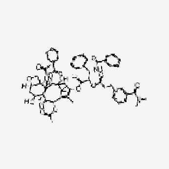 CC(=O)O[C@H]1C(=O)[C@@]2(C)[C@H]([C@H](OC(=O)c3ccccc3)[C@]3(O)C[C@H](OC(=O)[C@H](OC(=O)CC[n+]4cccc(C(=O)N(C)C)c4)[C@@H](NC(=O)c4ccccc4)c4ccccc4)C(C)=C1C3(C)C)[C@]1(OC(C)=O)CO[C@@H]1C[C@@H]2O